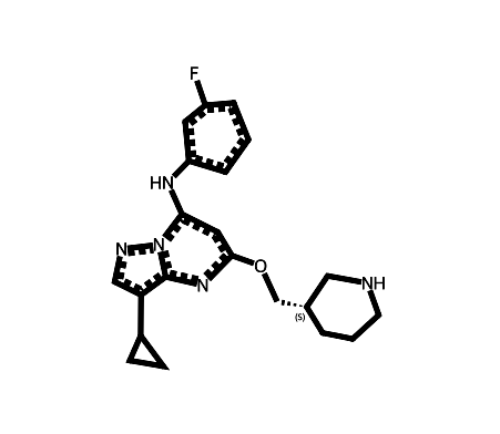 Fc1cccc(Nc2cc(OC[C@H]3CCCNC3)nc3c(C4CC4)cnn23)c1